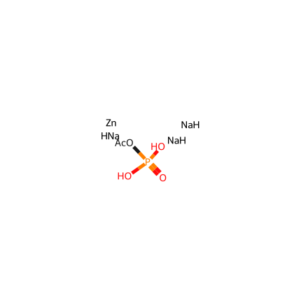 CC(=O)OP(=O)(O)O.[NaH].[NaH].[NaH].[Zn]